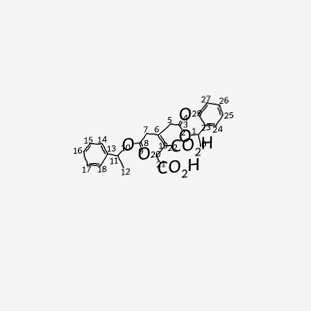 CC(OC(=O)CC(CC(=O)OC(C)c1ccccc1)=C(CC(=O)O)C(=O)O)c1ccccc1